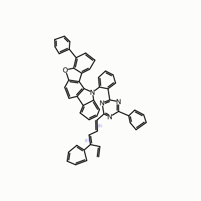 C=C/C(=C\C=C\c1nc(-c2ccccc2)nc(-c2ccccc2-n2c3ccccc3c3ccc4oc5c(-c6ccccc6)cccc5c4c32)n1)c1ccccc1